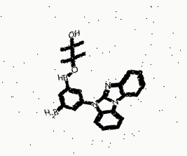 Bc1cc(BOC(C)(C)C(C)(C)O)cc(-n2c3ccccc3n3c4ccccc4nc23)c1